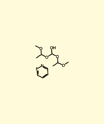 COC(C)OC(O)OC(C)OC.c1ccpnc1